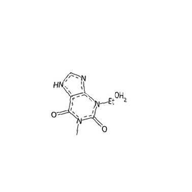 CCn1c(=O)n(C)c(=O)c2[nH]cnc21.O